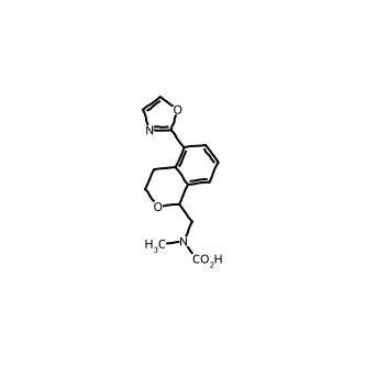 CN(CC1OCCc2c(-c3ncco3)cccc21)C(=O)O